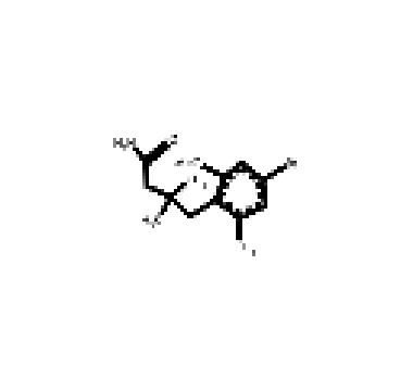 COc1cc(Br)cc(C)c1CC(C)(C)CC(N)=O